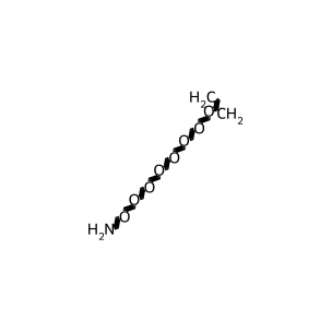 C=CC(=C)OCCOCCOCCOCCOCCOCCOCCOCCN